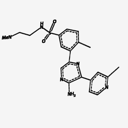 CNCCNS(=O)(=O)c1ccc(C)c(-c2cnc(N)c(-c3ccnc(C)c3)n2)c1